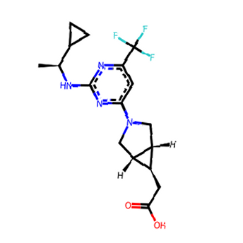 C[C@H](Nc1nc(N2C[C@@H]3[C@@H](CC(=O)O)[C@@H]3C2)cc(C(F)(F)F)n1)C1CC1